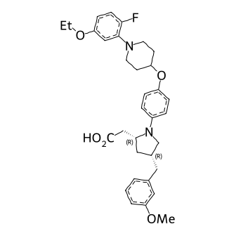 CCOc1ccc(F)c(N2CCC(Oc3ccc(N4C[C@H](Cc5cccc(OC)c5)C[C@@H]4CC(=O)O)cc3)CC2)c1